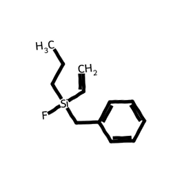 C=C[Si](F)(CCC)Cc1ccccc1